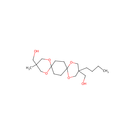 CCCCC1(CO)COC2(CCC3(CC2)OCC(C)(CO)CO3)OC1